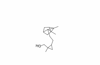 CC1(CO)CC1CCC1(C)C2CC3C(C2)C31C